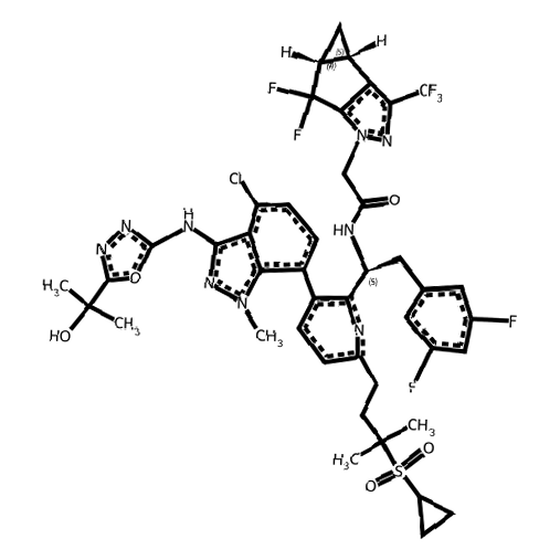 Cn1nc(Nc2nnc(C(C)(C)O)o2)c2c(Cl)ccc(-c3ccc(CCC(C)(C)S(=O)(=O)C4CC4)nc3[C@H](Cc3cc(F)cc(F)c3)NC(=O)Cn3nc(C(F)(F)F)c4c3C(F)(F)[C@@H]3C[C@H]43)c21